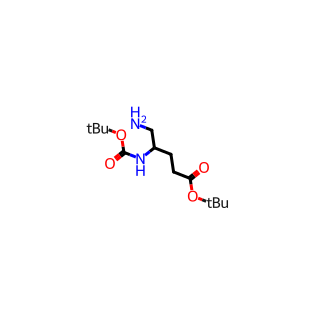 CC(C)(C)OC(=O)CCC(CN)NC(=O)OC(C)(C)C